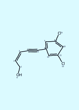 OC/C=C\C#Cc1cc(Cl)cc(Cl)c1